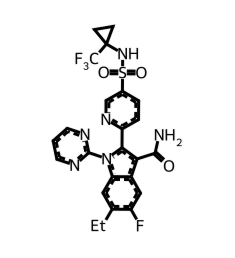 CCc1cc2c(cc1F)c(C(N)=O)c(-c1ccc(S(=O)(=O)NC3(C(F)(F)F)CC3)cn1)n2-c1ncccn1